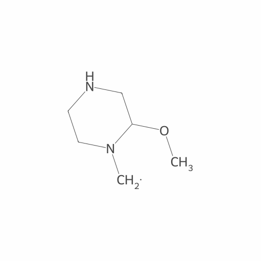 [CH2]N1CCNCC1OC